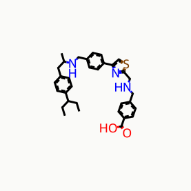 CCC(CC)c1ccc(CC(C)NCc2ccc(-c3csc(CNCc4ccc(C(=O)O)cc4)n3)cc2)cc1